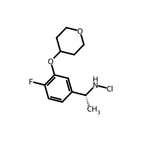 C[C@@H](NCl)c1ccc(F)c(OC2CCOCC2)c1